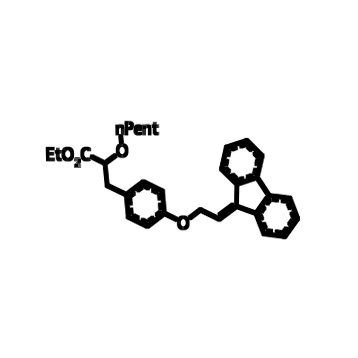 CCCCCOC(Cc1ccc(OCC=C2c3ccccc3-c3ccccc32)cc1)C(=O)OCC